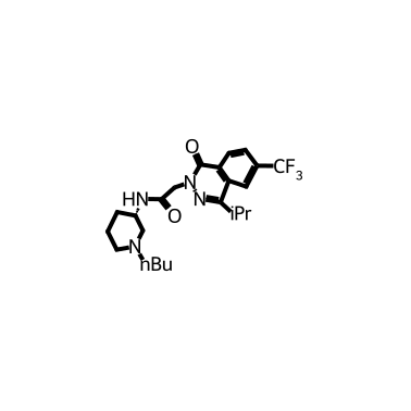 CCCCN1CCC[C@H](NC(=O)Cn2nc(C(C)C)c3cc(C(F)(F)F)ccc3c2=O)C1